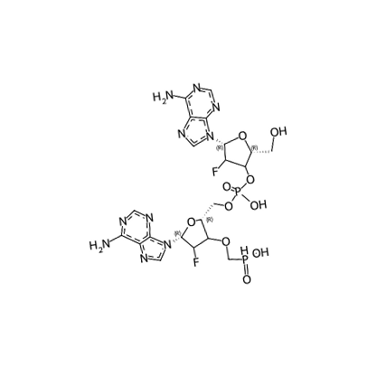 Nc1ncnc2c1ncn2[C@@H]1O[C@H](COP(=O)(O)OC2C(F)[C@H](n3cnc4c(N)ncnc43)O[C@@H]2CO)C(OC[PH](=O)O)C1F